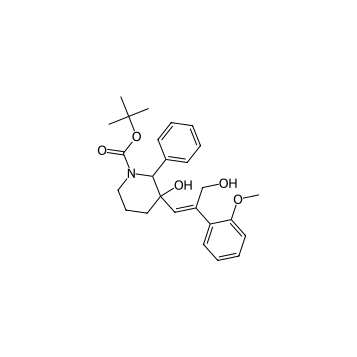 COc1ccccc1/C(=C/C1(O)CCCN(C(=O)OC(C)(C)C)C1c1ccccc1)CO